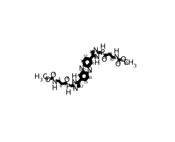 COC(=O)NCCC(=O)Pc1ncc(-c2ccc3nc4cc(-c5cnc(PC(=O)CCNC(=O)OC)[nH]5)ccc4nc3c2)[nH]1